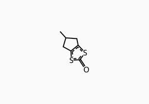 CC1Cc2sc(=O)sc2C1